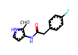 O=Cc1[nH]ccc1NC(=O)Cc1ccc(F)cc1